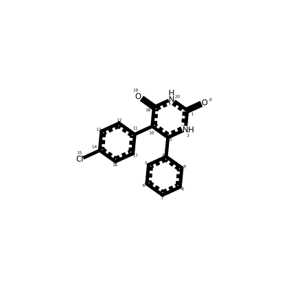 O=c1[nH]c(-c2ccccc2)c(-c2ccc(Cl)cc2)c(=O)[nH]1